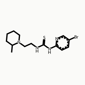 CC1CCCCN1CCNC(=S)Nc1ccc(Br)cn1